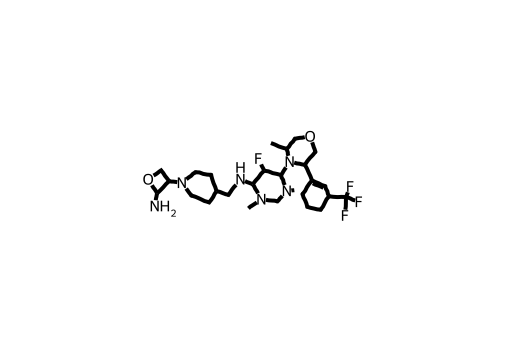 CC1COCC(C2=CC(C(F)(F)F)CCC2)N1C1C(F)C(NCC2CCN(C3COC3N)CC2)N(C)CN1C